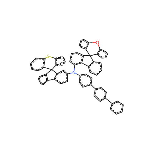 c1ccc(-c2ccc(-c3ccc(N(c4ccc5c(c4)C4(c6ccccc6Sc6ccccc64)c4ccccc4-5)c4cccc5c4-c4ccccc4C54c5ccccc5Oc5ccccc54)cc3)cc2)cc1